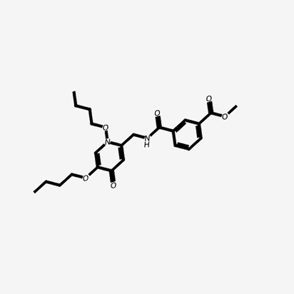 CCCCOc1cn(OCCCC)c(CNC(=O)c2cccc(C(=O)OC)c2)cc1=O